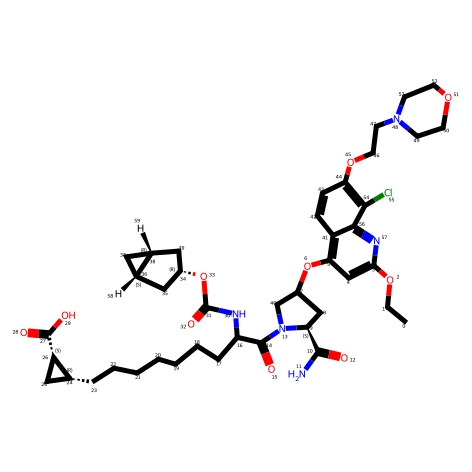 CCOc1cc(OC2C[C@@H](C(N)=O)N(C(=O)C(CCCCCCC[C@@H]3C[C@@H]3C(=O)O)NC(=O)O[C@@H]3C[C@@H]4C[C@@H]4C3)C2)c2ccc(OCCN3CCOCC3)c(Cl)c2n1